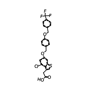 O=C(O)Cc1csc2cc(OCc3ccc(OCc4ccc(C(F)(F)F)cc4)cc3)cc(Cl)c12